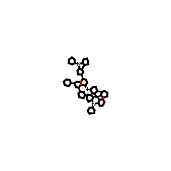 c1ccc(-c2cccc(-c3ccccc3N(c3ccc(-c4ccc5c(c4)c4ccccc4n5-c4ccccc4)cc3)c3ccc4c(c3)C3(c5ccccc5-4)c4ccccc4N(c4ccccc4)c4ccccc43)c2)cc1